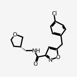 O=C(NC[C@@H]1CCOC1)c1cc(Cc2ccc(Cl)cc2)on1